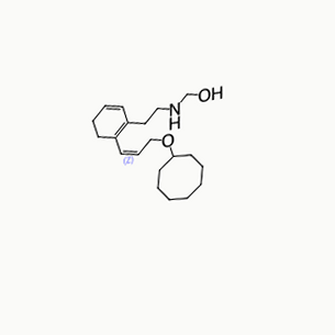 OCNCCC1=C(/C=C\COC2CCCCCCC2)CCC=C1